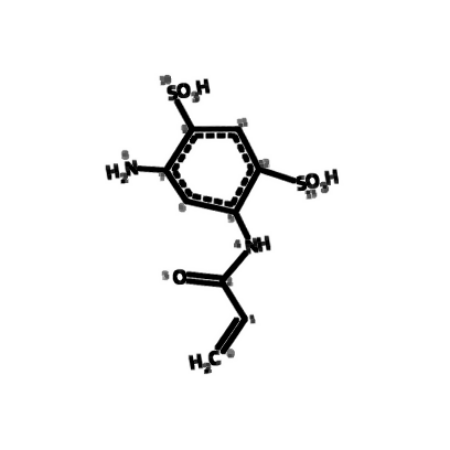 C=CC(=O)Nc1cc(N)c(S(=O)(=O)O)cc1S(=O)(=O)O